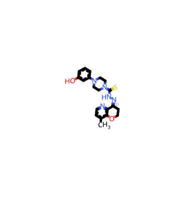 Cc1ccnc2c1OCC/C2=N/NC(=S)N1CCN(c2cccc(O)c2)CC1